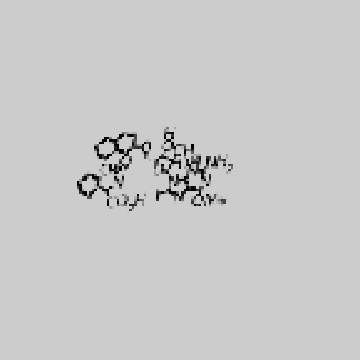 COc1nc(N)nc2c1nc(I)n2[C@@H]1O[C@H](COc2ccc3ccccc3c2O/[P+]([O-])=N/C(C(=O)O)c2ccccc2)[C@@H](O)[C@@]1(C)O